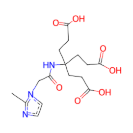 Cc1nccn1CC(=O)NC(CCC(=O)O)(CCC(=O)O)CCC(=O)O